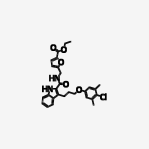 CCOC(=O)c1ccc(CNC(=O)c2[nH]c3ccccc3c2CCCOc2cc(C)c(Cl)c(C)c2)o1